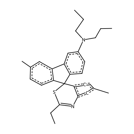 CCCN(CCC)c1ccc2c(c1)-c1cc(C)ccc1C21SC(CC)=Nc2cc(C)ccc21